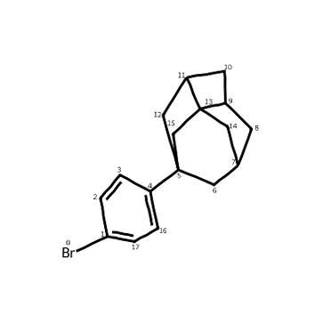 Brc1ccc(C23CC4CC5CC(C2)C5(C4)C3)cc1